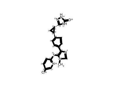 Cn1cnc(-c2ccc([C@H]3C[C@@H]3c3n[nH]c(=O)[nH]3)cc2)c1Sc1ccc(Cl)cn1